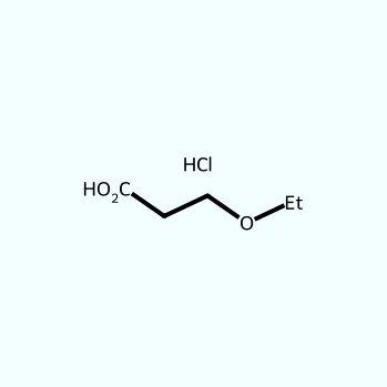 CCOCCC(=O)O.Cl